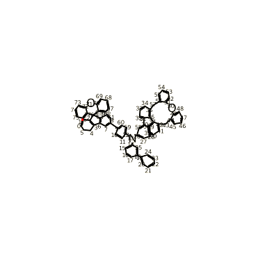 C1=CC2=C(CC1)c1cc(-c3ccc(N(c4cccc(-c5ccccc5)c4)c4cccc(-c5cccc6c5-c5ccccc5Cc5ccccc5Oc5ccccc5C6)c4)cc3)ccc1C21c2ccccc2Oc2ccccc21